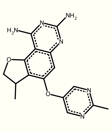 Cc1ncc(Oc2cc3nc(N)nc(N)c3c3c2C(C)CO3)cn1